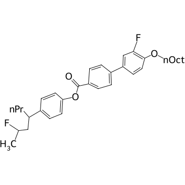 CCCCCCCCOc1ccc(-c2ccc(C(=O)Oc3ccc(C(CCC)CC(C)F)cc3)cc2)cc1F